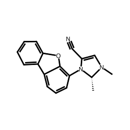 C[C@H]1N(C)C=C(C#N)N1c1cccc2c1oc1ccccc12